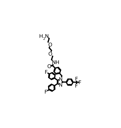 NCCOCCOCCNC(=O)c1ccc(Cn2c(-c3ccc(C(F)(F)F)cc3)nc(-c3ccc(F)cc3)c2-c2ccc(F)cc2)cc1